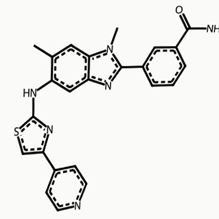 Cc1cc2c(cc1Nc1nc(-c3ccncc3)cs1)nc(-c1cccc(C(N)=O)c1)n2C